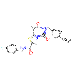 Cc1c(=O)n(Cc2ccc(C(=O)O)cc2)c(=O)n2cc(C(=O)NCc3ccc(F)cc3)sc12